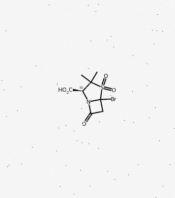 CC1(C)[C@H](C(=O)O)N2C(=O)CC2(Br)S1(=O)=O